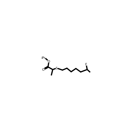 CC(F)CCCCCSC(C)C(=O)OC(C)C